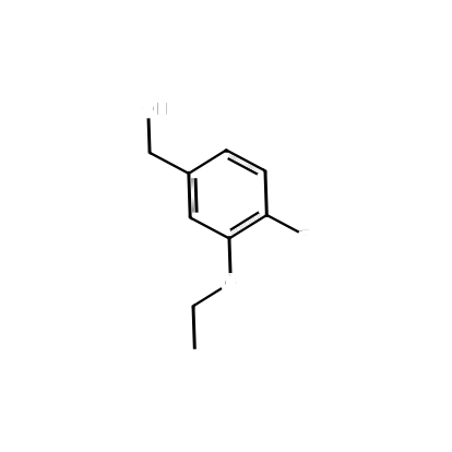 CCOc1cc([CH]O)ccc1F